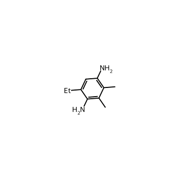 CCc1cc(N)c(C)c(C)c1N